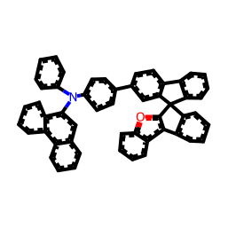 c1ccc(N(c2ccc(-c3ccc4c(c3)C3(c5ccccc5-4)c4ccccc4-c4c3oc3ccccc43)cc2)c2cc3ccccc3c3ccccc23)cc1